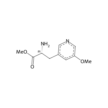 COC(=O)[C@H](N)Cc1cncc(OC)c1